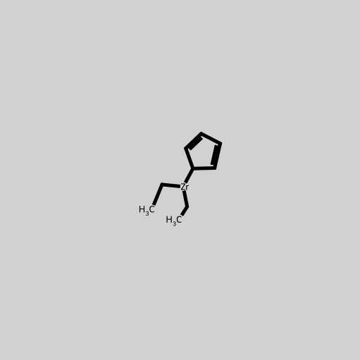 C[CH2][Zr]([CH2]C)[CH]1C=CC=C1